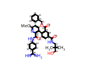 COc1ccc(-c2ccc(C(=O)NCC(C)(C)CO)cc2C(=O)OCc2ccccc2)c(C(=O)Nc2ccc(C(=N)N)cc2)n1